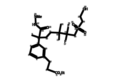 CCOC(=O)CCc1cccc(C(C)(CCC(C)(C)C(F)(F)CS(=O)(=O)CCO)C(=O)NNC)c1